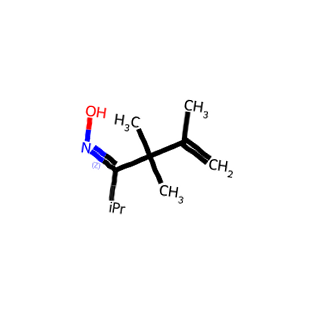 C=C(C)C(C)(C)/C(=N\O)C(C)C